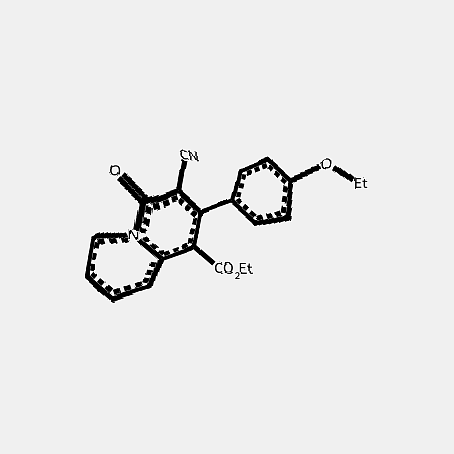 CCOC(=O)c1c(-c2ccc(OCC)cc2)c(C#N)c(=O)n2ccccc12